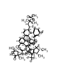 C[C@@H]1c2c(C(F)(F)F)nn(CC(=O)N[C@@H](Cc3cc(F)cc(F)c3)c3nc(CCC(C)(C)S(C)(=O)=O)ccc3-c3ccc(Cl)c4c(N(C(=O)N[C@@](C)(CC(=O)O)C(=O)O)S(C)(=O)=O)nn(CC(F)(F)F)c34)c2C(F)(F)[C@@H]1C